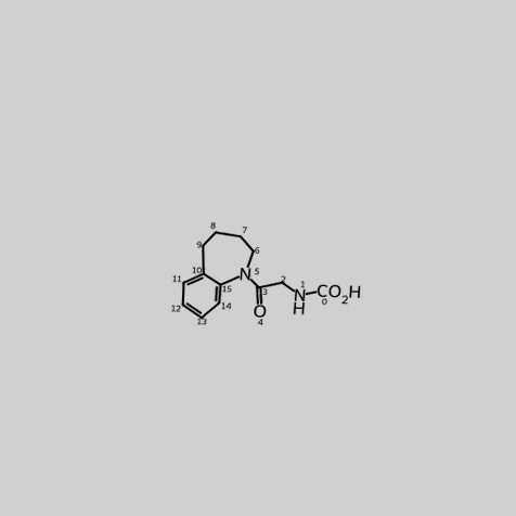 O=C(O)NCC(=O)N1CCCCc2ccccc21